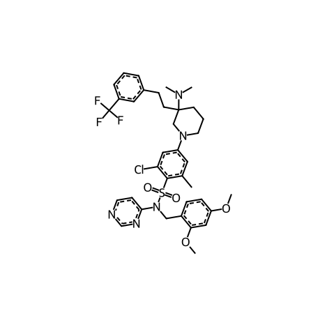 COc1ccc(CN(c2ccncn2)S(=O)(=O)c2c(C)cc(N3CCCC(CCc4cccc(C(F)(F)F)c4)(N(C)C)C3)cc2Cl)c(OC)c1